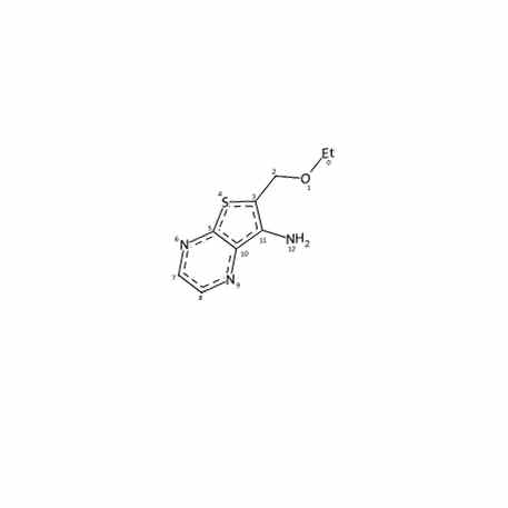 CCOCc1sc2nccnc2c1N